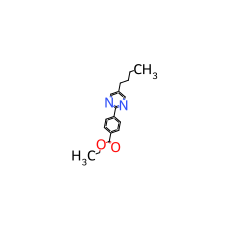 CCCCc1cnc(-c2ccc(C(=O)OCC)cc2)nc1